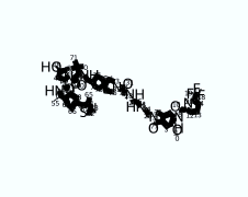 COc1cc2c(cc1NC(=O)c1cccc(C(F)(F)F)n1)CN(CCNCCNCC(=O)N1CCC3(CCC(C(=O)N[C@H](C(=O)N4C[C@H](O)C[C@H]4C(=O)N[C@@H](C)c4ccc(-c5scnc5C)cc4)C(C)(C)C)CC3)CC1)C2=O